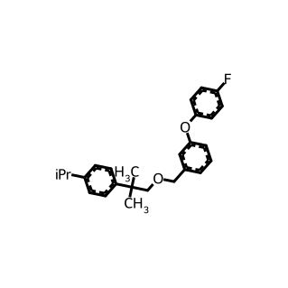 CC(C)c1ccc(C(C)(C)COCc2cccc(Oc3ccc(F)cc3)c2)cc1